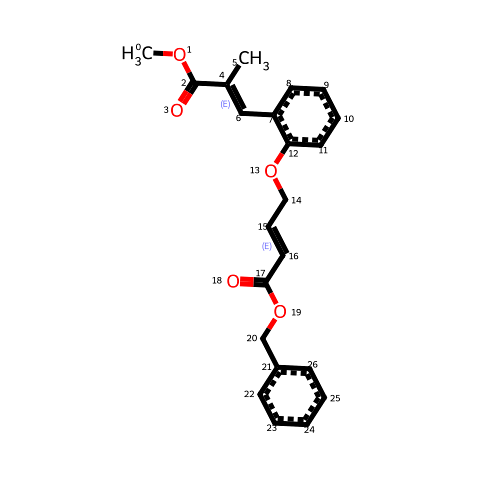 COC(=O)/C(C)=C/c1ccccc1OC/C=C/C(=O)OCc1ccccc1